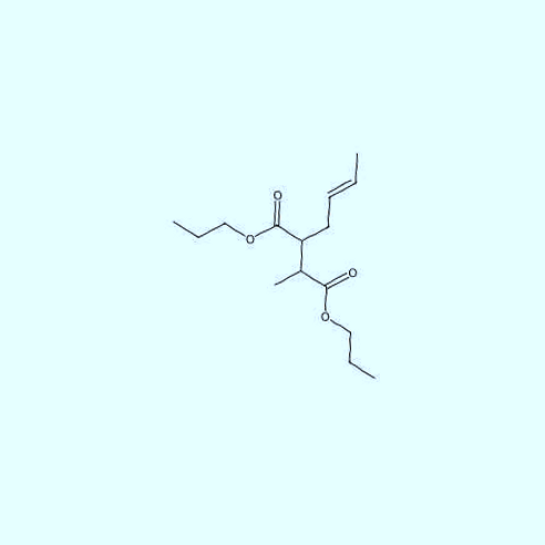 CC=CCC(C(=O)OCCC)C(C)C(=O)OCCC